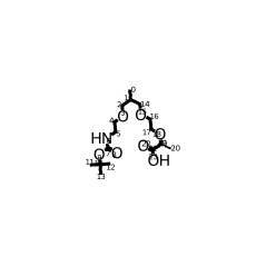 CC(COCCNC(=O)OC(C)(C)C)COCCO[C@@H](C)C(=O)O